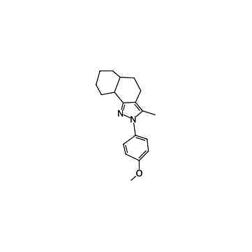 COc1ccc(-n2nc3c(c2C)CCC2CCCCC32)cc1